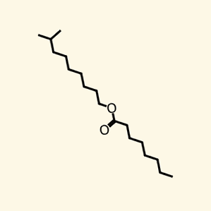 CCCCCCCC(=O)OCCCCCCCC(C)C